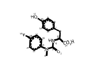 CN(C(=O)NC(Cc1ccc(O)cc1)C(=O)O)c1ccc(F)cc1